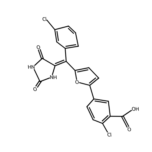 O=C1NC(=O)/C(=C(\c2cccc(Cl)c2)c2ccc(-c3ccc(Cl)c(C(=O)O)c3)o2)N1